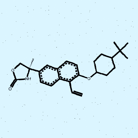 C=Cc1c(OC2CCC(C(C)(C)C)CC2)ccc2cc([C@]3(C)COC(=O)N3)ccc12